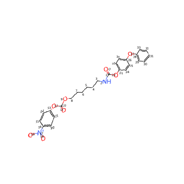 O=C(NCCCCCCOC(=O)Oc1ccc([N+](=O)[O-])cc1)Oc1ccc(Oc2ccccc2)cc1